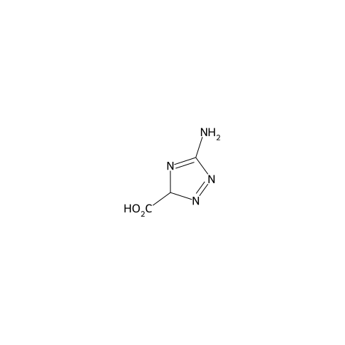 NC1=NC(C(=O)O)N=N1